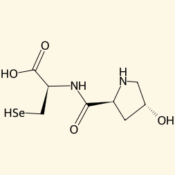 O=C(O)[C@H](C[SeH])NC(=O)[C@@H]1C[C@@H](O)CN1